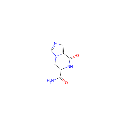 NC(=O)C1Cn2cncc2C(=O)N1